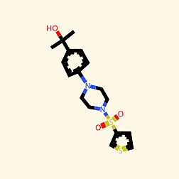 CC(C)(O)c1ccc(N2CCN(S(=O)(=O)c3ccsc3)CC2)cc1